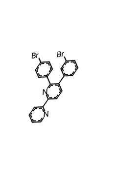 Brc1ccc(-c2nc(-c3ccccn3)ccc2-c2cccc(Br)c2)cc1